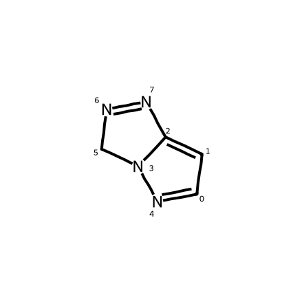 c1cc2n(n1)CN=N2